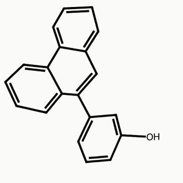 Oc1cccc(-c2cc3ccccc3c3ccccc23)c1